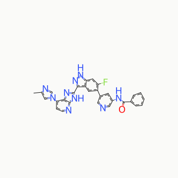 Cc1cn(-c2ccnc3[nH]c(-c4n[nH]c5cc(F)c(-c6cncc(NC(=O)c7ccccc7)c6)cc45)nc23)cn1